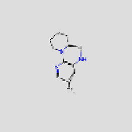 FC(F)(F)c1cnc2c(c1)NC=C1CCCCN12